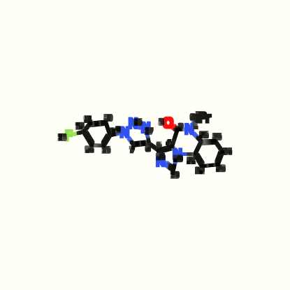 CC(C)n1c(=O)c2c(-c3cn(-c4ccc(F)cc4)nn3)ncn2c2ccccc21